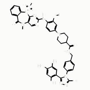 CCOc1cc(N2CCC(C(=O)NCc3ccc(-n4c(O)nnc4-c4cc(C(C)C)c(O)cc4O)cc3)CC2)ccc1Nc1ncc2c(n1)N(S(C)(=O)=O)c1ccccc1C(=O)N2C